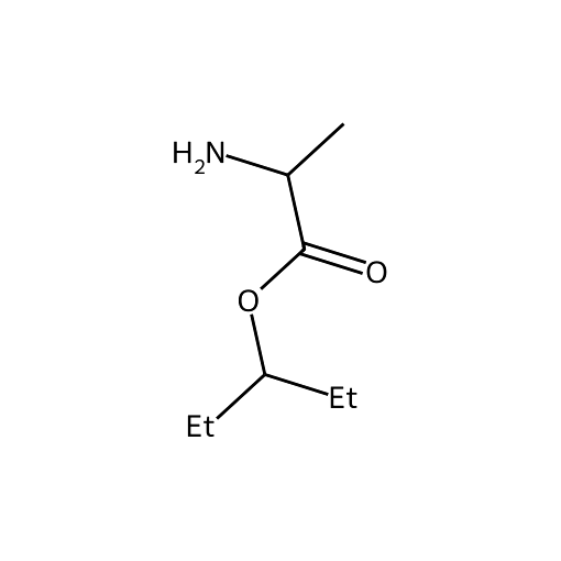 CCC(CC)OC(=O)C(C)N